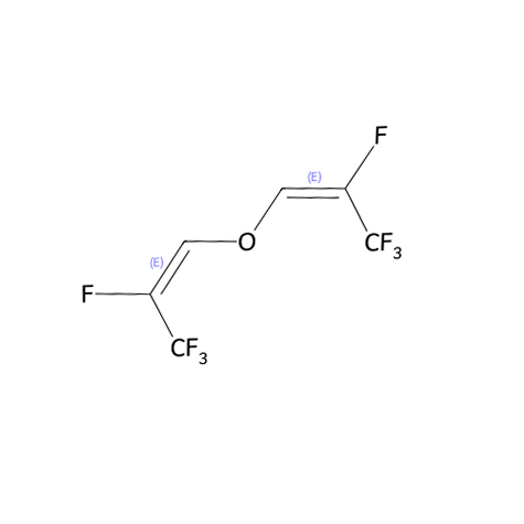 F/C(=C/O/C=C(/F)C(F)(F)F)C(F)(F)F